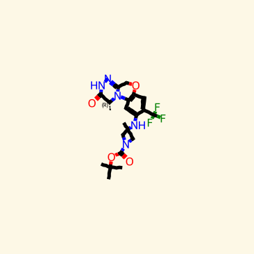 C[C@@H]1C(=O)NN=C2COc3cc(C(F)(F)F)c(NC4(C)CN(C(=O)OC(C)(C)C)C4)cc3N21